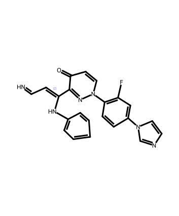 N=C/C=C(\Nc1ccccc1)c1nn(-c2ccc(-n3ccnc3)cc2F)ccc1=O